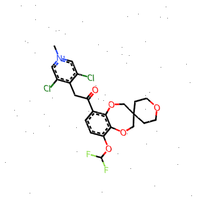 C[n+]1cc(Cl)c(CC(=O)c2ccc(OC(F)F)c3c2OCC2(CCOCC2)CO3)c(Cl)c1